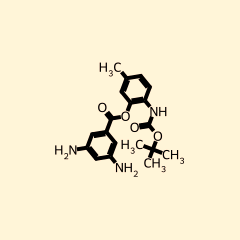 Cc1ccc(NC(=O)OC(C)(C)C)c(OC(=O)c2cc(N)cc(N)c2)c1